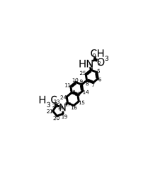 CC(=O)Nc1cccc(-c2ccc3c(c2)CCC(N2CCCC2C)C3)c1